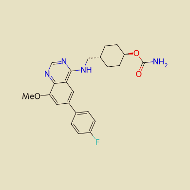 COc1cc(-c2ccc(F)cc2)cc2c(NC[C@H]3CC[C@H](OC(N)=O)CC3)ncnc12